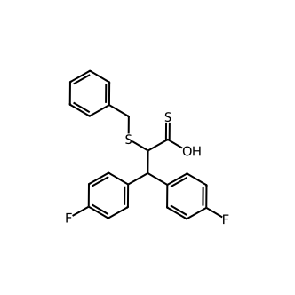 OC(=S)C(SCc1ccccc1)C(c1ccc(F)cc1)c1ccc(F)cc1